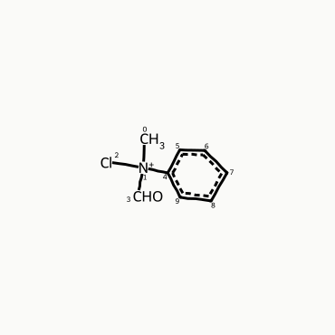 C[N+](Cl)(C=O)c1ccccc1